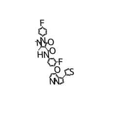 Cc1c(C(=O)Nc2ccc(Oc3ccnn4ccc(-c5ccsc5)c34)c(F)c2)c(=O)n(-c2ccc(F)cc2)n1C